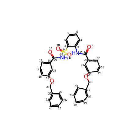 O=C(Nc1ccccc1S(=O)(=O)NC(=O)c1cccc(OCc2ccccc2)c1)c1cccc(OCc2ccccc2)c1